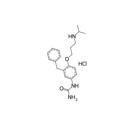 CC(C)NCCCOc1ccc(NC(N)=O)cc1Cc1ccccc1.Cl